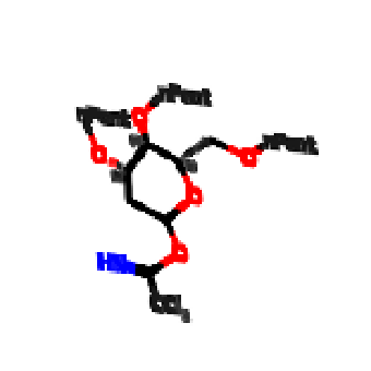 CCCCCOC[C@@H]1OC(OC(=N)C(Cl)(Cl)Cl)C[C@H](OCCCCC)[C@H]1OCCCCC